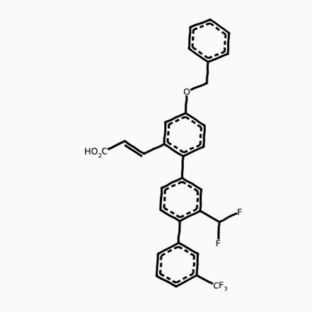 O=C(O)/C=C/c1cc(OCc2ccccc2)ccc1-c1ccc(-c2cccc(C(F)(F)F)c2)c(C(F)F)c1